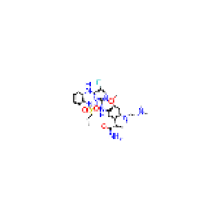 C=C(C(N)=O)c1cc(Nc2ncc(F)c(Nc3ccccc3NS(=O)(=O)CCC)n2)c(OC)cc1N(C)CCN(C)C